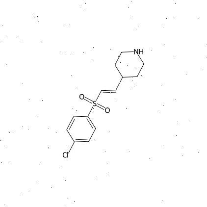 O=S(=O)(C=CC1CCNCC1)c1ccc(Cl)cc1